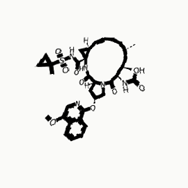 COc1cnc(O[C@@H]2C[C@H]3C(=O)N[C@]4(C(=O)NS(=O)(=O)C5(C)CC5)C[C@H]4/C=C\CC[C@H](C)C[C@@H](C)[C@H](NC(=O)O)C(=O)N3C2)c2ccccc12